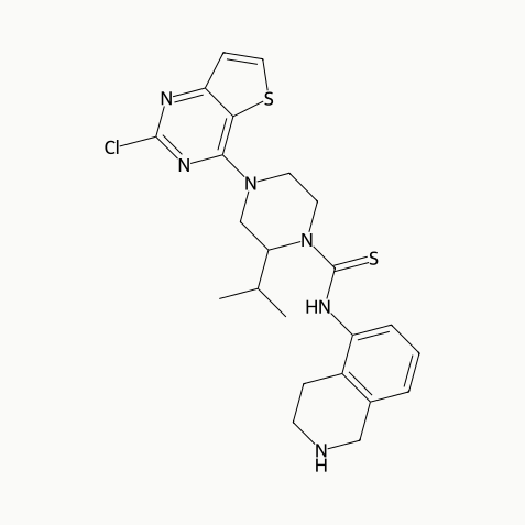 CC(C)C1CN(c2nc(Cl)nc3ccsc23)CCN1C(=S)Nc1cccc2c1CCNC2